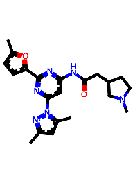 Cc1cc(C)n(-c2cc(NC(=O)CC3CCN(C)C3)nc(-c3ccc(C)o3)n2)n1